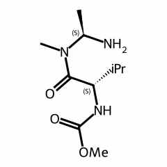 COC(=O)N[C@H](C(=O)N(C)[C@@H](C)N)C(C)C